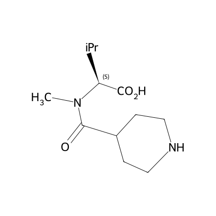 CC(C)[C@@H](C(=O)O)N(C)C(=O)C1CCNCC1